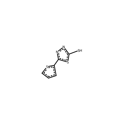 Sc1nnc(-c2cccs2)s1